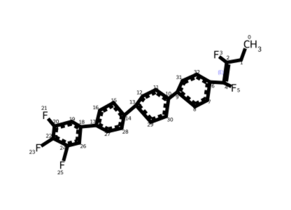 CC/C(F)=C(\F)c1ccc(-c2ccc(-c3ccc(-c4cc(F)c(F)c(F)c4)cc3)cc2)cc1